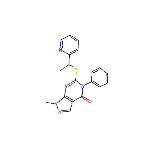 CC(Sc1nc2c(cnn2C)c(=O)n1-c1ccccc1)c1ccccn1